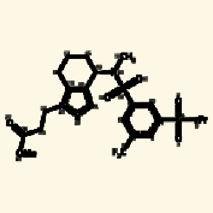 CCCS(=O)(=O)c1cc(C(F)(F)F)cc(S(=O)(=O)N(C)[C@@H]2CCCc3c2cnn3CCC(=O)OC)c1